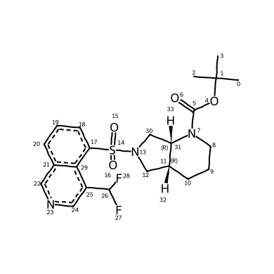 CC(C)(C)OC(=O)N1CCC[C@@H]2CN(S(=O)(=O)c3cccc4cncc(C(F)F)c34)C[C@@H]21